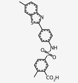 Cc1ccc2nc(-c3ccc(NS(=O)(=O)c4ccc(C)c(C(=O)O)c4)cc3)sc2c1